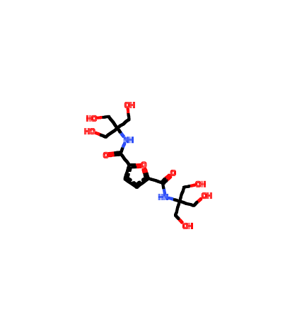 O=C(NC(CO)(CO)CO)c1ccc(C(=O)NC(CO)(CO)CO)o1